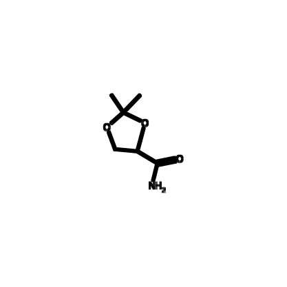 CC1(C)OCC(C(N)=O)O1